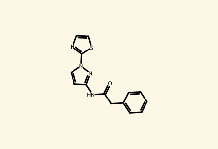 O=C(Cc1ccccc1)Nc1ccn(-c2nccs2)n1